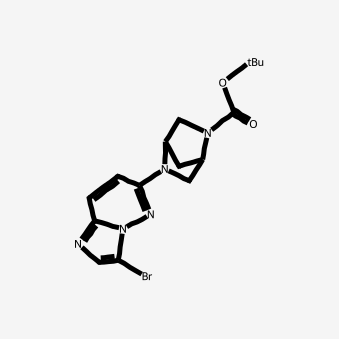 CC(C)(C)OC(=O)N1CC2CC1CN2c1ccc2ncc(Br)n2n1